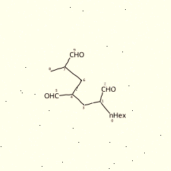 CCCCCCC(C=O)CC(C=O)CC(C)C=O